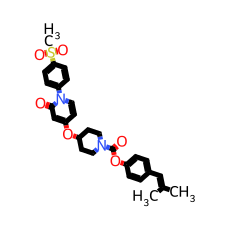 CC(C)=Cc1ccc(OC(=O)N2CCC(Oc3ccn(-c4ccc(S(C)(=O)=O)cc4)c(=O)c3)CC2)cc1